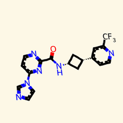 O=C(N[C@H]1C[C@@H](c2ccnc(C(F)(F)F)c2)C1)c1nccc(-n2ccnc2)n1